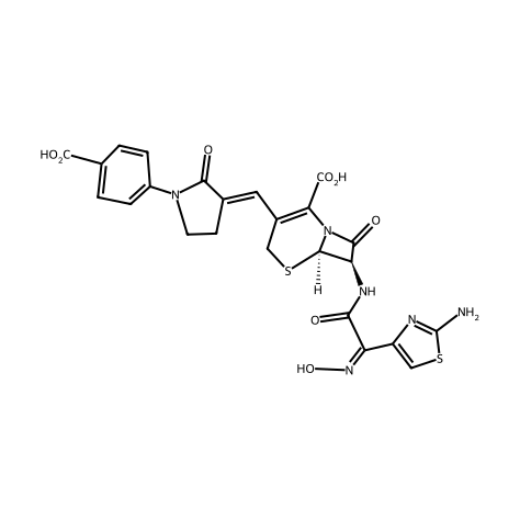 Nc1nc(/C(=N/O)C(=O)N[C@@H]2C(=O)N3C(C(=O)O)=C(/C=C4\CCN(c5ccc(C(=O)O)cc5)C4=O)CS[C@H]23)cs1